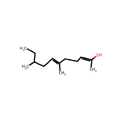 CCC(C)C/C=C(\C)CC/C=C(\C)O